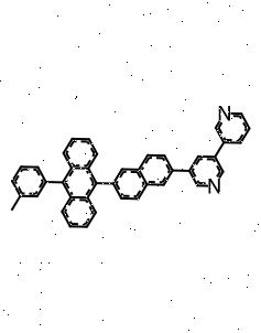 Cc1cccc(-c2c3ccccc3c(-c3ccc4cc(-c5cncc(-c6cccnc6)c5)ccc4c3)c3ccccc23)c1